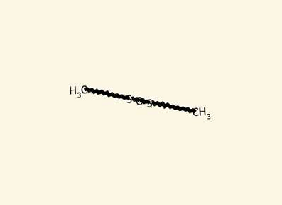 CCCCCCCCCCCCCCCCCCSCCCOCCCSCCCCCCCCCCCCCCCCCC